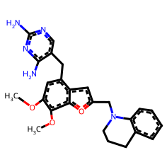 COc1cc(Cc2cnc(N)nc2N)c2cc(CN3CCCc4ccccc43)oc2c1OC